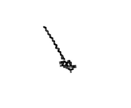 CCCCCCCCCCCCCCCCCCOC[C@@H](NC(C)=O)C(=O)N[C@@H](CC(C)C)C(=O)O